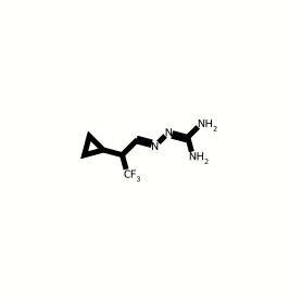 NC(N)=NN=CC(C1CC1)C(F)(F)F